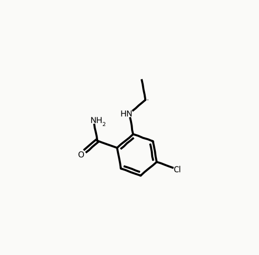 C[CH]Nc1cc(Cl)ccc1C(N)=O